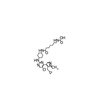 Cn1ncc(-c2nc(NC3CCC(NC(=O)CCCCCCNC(=O)O)CC3)ncc2Cl)c1CC1CC1